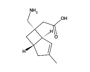 CC1=C[C@H]2[C@H](C1)C[C@@]2(CN)CC(=O)O